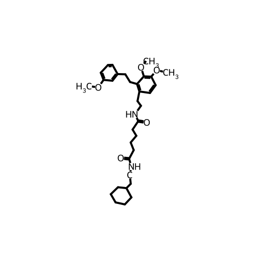 COc1cccc(CCc2c(CCNC(=O)CCCCC(=O)NCCC3CCCCC3)ccc(OC)c2OC)c1